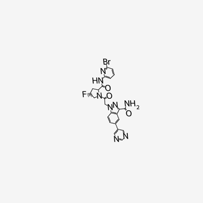 NC(=O)c1nn(CC(=O)N2C[C@H](F)CC2C(=O)Nc2cccc(Br)n2)c2ccc(-c3cncnc3)cc12